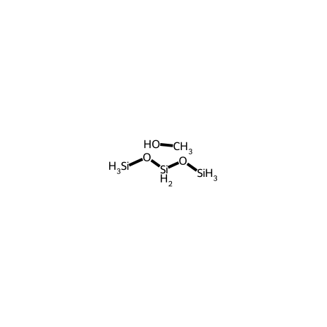 CO.[SiH3]O[SiH2]O[SiH3]